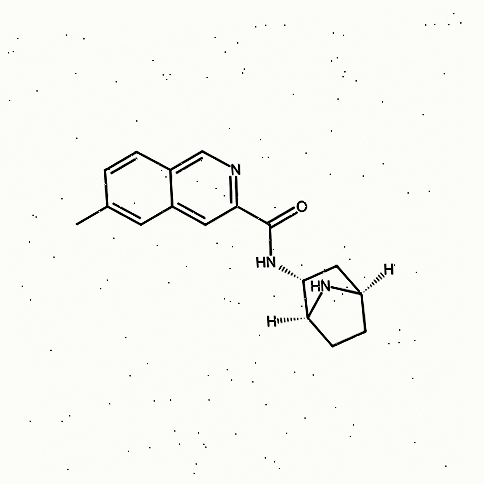 Cc1ccc2cnc(C(=O)N[C@@H]3C[C@H]4CC[C@@H]3N4)cc2c1